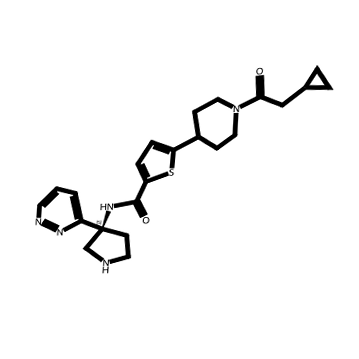 O=C(N[C@@]1(c2cccnn2)CCNC1)c1ccc(C2CCN(C(=O)CC3CC3)CC2)s1